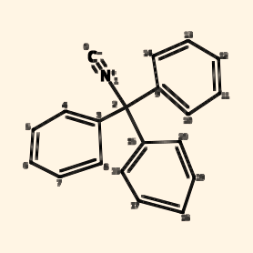 [C-]#[N+]C(c1ccccc1)(c1ccccc1)c1ccccc1